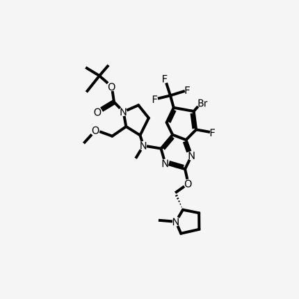 COCC1C(N(C)c2nc(OC[C@@H]3CCCN3C)nc3c(F)c(Br)c(C(F)(F)F)cc23)CCN1C(=O)OC(C)(C)C